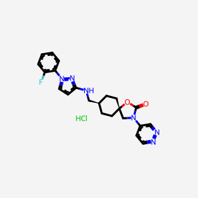 Cl.O=C1O[C@]2(CC[C@H](CNc3ccn(-c4ccccc4F)n3)CC2)CN1c1ccnnc1